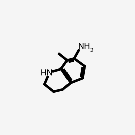 Cc1c(N)ccc2c1NCCC2